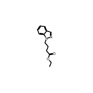 CCOC(=O)CCCn1ncc2ccccc21